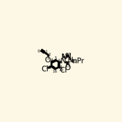 C#CCOc1cc(-n2nnn(CCC)c2=O)c(Cl)cc1Cl